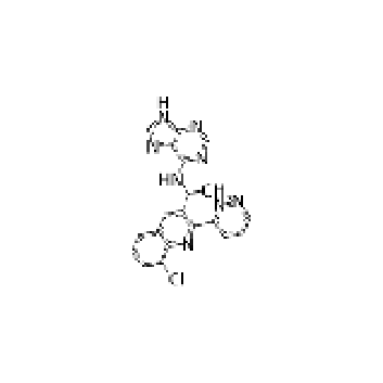 C[C@H](Nc1ncnc2[nH]cnc12)c1cc2cccc(Cl)c2nc1-c1cccnn1